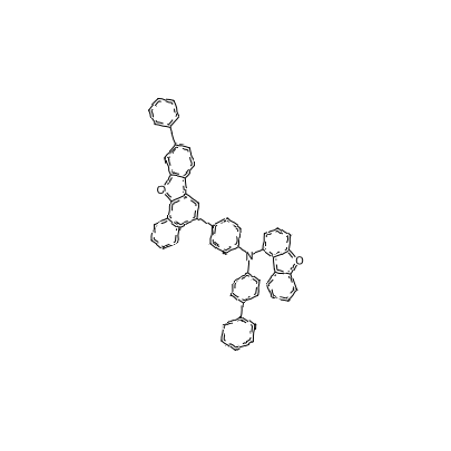 c1ccc(-c2ccc(N(c3ccc(-c4cc5c6ccc(-c7ccccc7)cc6oc5c5ccccc45)cc3)c3cccc4oc5ccccc5c34)cc2)cc1